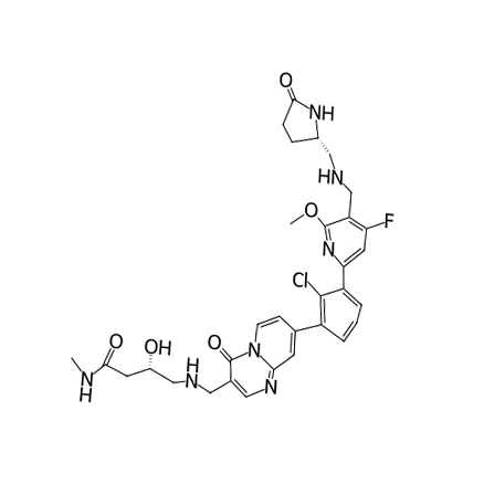 CNC(=O)C[C@H](O)CNCc1cnc2cc(-c3cccc(-c4cc(F)c(CNC[C@@H]5CCC(=O)N5)c(OC)n4)c3Cl)ccn2c1=O